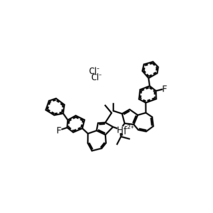 CCC1=CC2=C(C=CC=CC2c2ccc(-c3ccccc3)c(F)c2)[CH]1[Hf+2](=[C](C)C)[CH]1C(CC)=CC2=C1C=CC=CC2c1ccc(-c2ccccc2)c(F)c1.[Cl-].[Cl-]